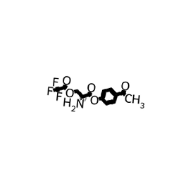 CC(=O)c1ccc(OC(=O)[C@H](N)COC(=O)C(F)(F)F)cc1